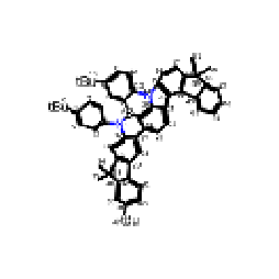 CC(C)(C)c1ccc(N2B3c4cc(C(C)(C)C)ccc4-n4c5ccc6c(c5c5ccc(c3c54)-c3cc4c(cc32)C(C)(C)c2cc(C(C)(C)C)ccc2-4)-c2ccccc2C6(C)C)cc1